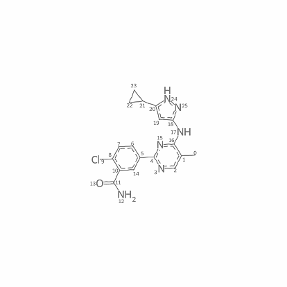 Cc1cnc(-c2ccc(Cl)c(C(N)=O)c2)nc1Nc1cc(C2CC2)[nH]n1